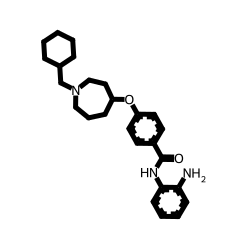 Nc1ccccc1NC(=O)c1ccc(OC2CCCN(CC3CCCCC3)CC2)cc1